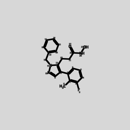 Cc1c(F)cccc1-c1cnn(Cc2ccccc2)c1CCC(=O)NO